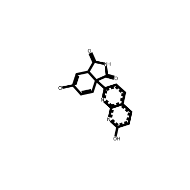 O=C1NC(=O)C2(c3ccc4ccc(O)nc4n3)C=CC(Cl)=CC12